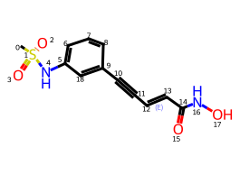 CS(=O)(=O)Nc1cccc(C#C/C=C/C(=O)NO)c1